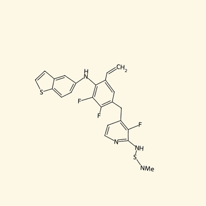 C=Cc1cc(Cc2ccnc(NSNC)c2F)c(F)c(F)c1Nc1ccc2sccc2c1